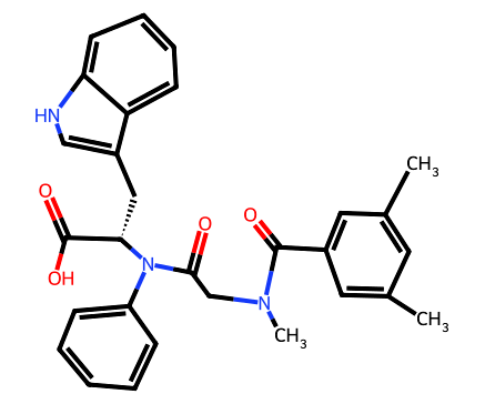 Cc1cc(C)cc(C(=O)N(C)CC(=O)N(c2ccccc2)[C@@H](Cc2c[nH]c3ccccc23)C(=O)O)c1